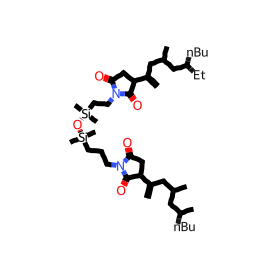 C=C(CC(C)CC(C)CCCC)C1CC(=O)N(CCC[Si](C)(C)O[Si](C)(C)CCN2C(=O)CC(C(=C)CC(C)CC(CC)CCCC)C2=O)C1=O